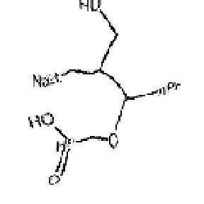 CCCC(O[PH](=O)O)C(CC)CO.[Na]